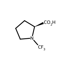 O=C(O)[C@@H]1CCCN1C(F)(F)F